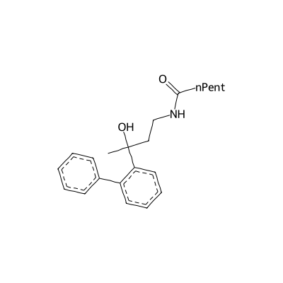 CCCCCC(=O)NCCC(C)(O)c1ccccc1-c1ccccc1